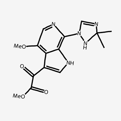 COC(=O)C(=O)c1c[nH]c2c(N3C=NC(C)(C)N3)ncc(OC)c12